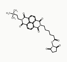 C[N+](C)(C)CCN1C(=O)c2ccc3c4c(ccc(c24)C1=O)C(=O)N(CCCCCC(=O)ON1C(=O)CCC1=O)C3=O